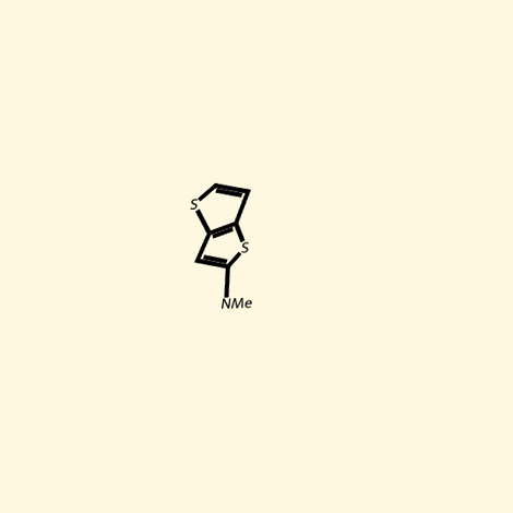 CNc1cc2sccc2s1